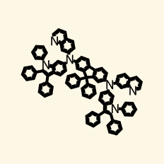 c1ccc(-c2c(-c3ccccc3)n(-c3ccccc3)c3cc(N(c4ccc5c(c4)C(c4ccccc4)(c4ccccc4)c4cc(N(c6ccc7cccnc7c6)c6ccc7c(-c8ccccc8)c(-c8ccccc8)n(-c8ccccc8)c7c6)ccc4-5)c4ccc5cccnc5c4)ccc23)cc1